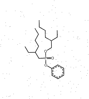 CCCCC(CC)COP(=O)(CC(CC)CCCC)Oc1ccccc1